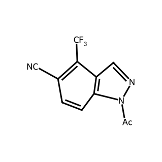 CC(=O)n1ncc2c(C(F)(F)F)c(C#N)ccc21